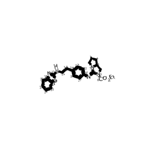 CCOC(=O)N1CC2CCCN2/C1=N\c1ccc(CCNc2nc3ccccc3s2)cc1